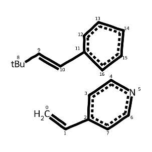 C=Cc1ccncc1.CC(C)(C)C=Cc1ccccc1